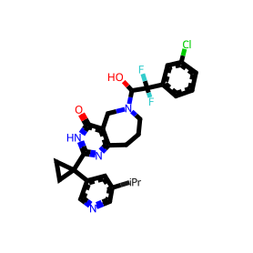 CC(C)c1cncc(C2(c3nc4c(c(=O)[nH]3)CN(C(O)C(F)(F)c3cccc(Cl)c3)CCC4)CC2)c1